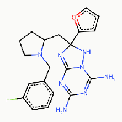 NC1=NC2=NC(CC3CCCN3Cc3cccc(F)c3)(c3ccco3)NN2C(N)=N1